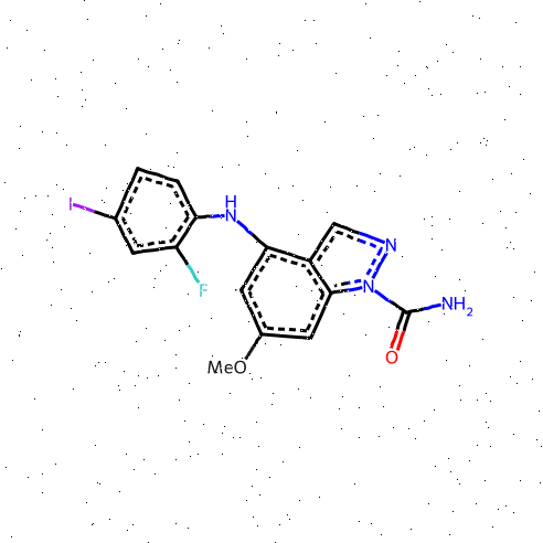 COc1[c]c(Nc2ccc(I)cc2F)c2cnn(C(N)=O)c2c1